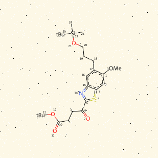 COc1cc2sc(C(=O)CCC(=O)OC(C)(C)C)nc2cc1CCCO[Si](C)(C)C(C)(C)C